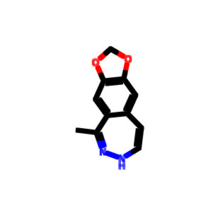 CC1=NNC=Cc2cc3c(cc21)OCO3